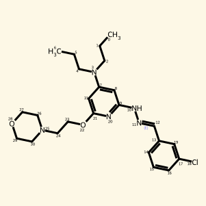 CCCN(CCC)c1cc(N/N=C/c2cccc(Cl)c2)nc(OCCN2CCOCC2)c1